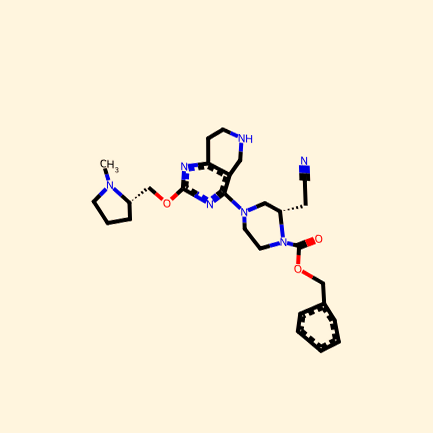 CN1CCC[C@H]1COc1nc2c(c(N3CCN(C(=O)OCc4ccccc4)[C@@H](CC#N)C3)n1)CNCC2